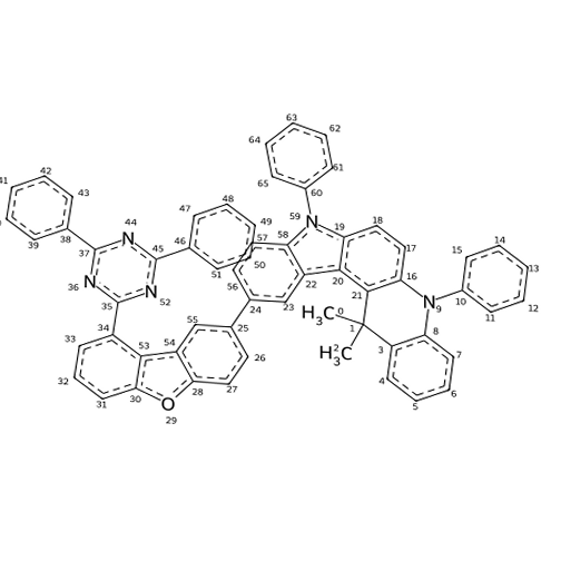 CC1(C)c2ccccc2N(c2ccccc2)c2ccc3c(c21)c1cc(-c2ccc4oc5cccc(-c6nc(-c7ccccc7)nc(-c7ccccc7)n6)c5c4c2)ccc1n3-c1ccccc1